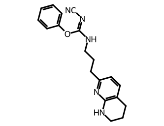 N#CN=C(NCCCc1ccc2c(n1)NCCC2)Oc1ccccc1